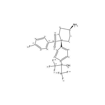 N[C@H]1CC[C@](c2ccc(C(O)(C(F)(F)F)C(F)(F)F)cc2)(S(=O)(=O)c2ccc(F)cc2)CC1